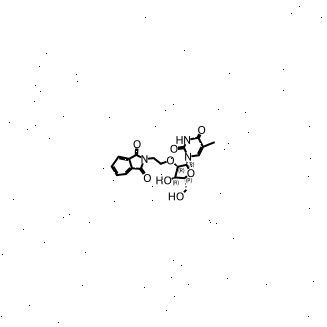 Cc1cn([C@@H]2O[C@H](CO)[C@@H](O)[C@H]2OCCN2C(=O)c3ccccc3C2=O)c(=O)[nH]c1=O